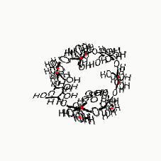 O=S(=O)(O)OC[C@H]1O[C@@H]2O[C@H]3[C@H](O)[C@@H](O)[C@@H](O[C@H]4[C@H](O)[C@@H](O)[C@@H](O[C@H]5[C@H](O)[C@@H](O)[C@@H](O[C@H]6[C@H](O)[C@@H](O)[C@@H](O[C@H]7[C@H](O)[C@@H](O)[C@@H](O[C@H]8[C@H](O)[C@@H](O)[C@@H](O[C@H]1[C@H](O)[C@H]2O)O[C@@H]8CO)O[C@@H]7CO)O[C@@H]6CO)O[C@@H]5CO)O[C@@H]4CO)O[C@@H]3CO